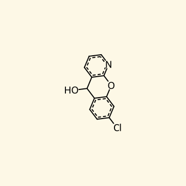 OC1c2ccc(Cl)cc2Oc2ncccc21